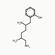 CC(CN)CCC(N)Cc1ccccc1O